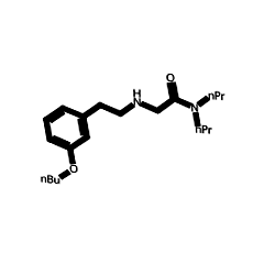 CCCCOc1cccc(CCNCC(=O)N(CCC)CCC)c1